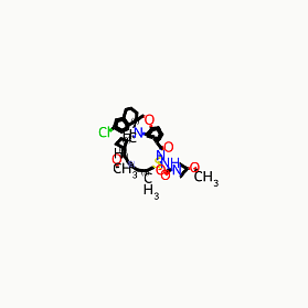 COC1CN(C(=O)NS2(=O)=NC(=O)c3ccc4c(c3)N(C[C@@H]3CC[C@H]3[C@@H](OC)/C=C/C[C@H](C)C2)C[C@@]2(CCCc3cc(Cl)ccc32)CO4)C1